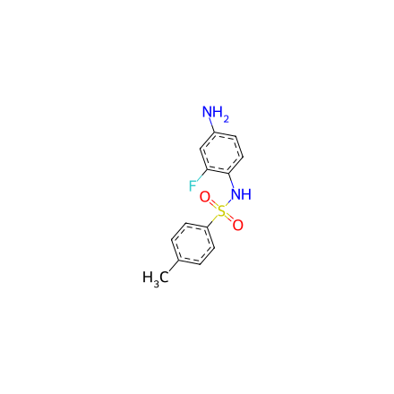 Cc1ccc(S(=O)(=O)Nc2ccc(N)cc2F)cc1